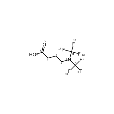 O=C(O)CCCN(C(F)(F)F)C(F)(F)F